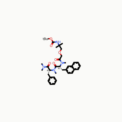 CN(C)C(=O)[C@@H](Cc1ccccc1)N(C)C(=O)[C@@H](Cc1ccc2ccccc2c1)N(C)C(=O)COCC(C)(C)NC(=O)OC(C)(C)C